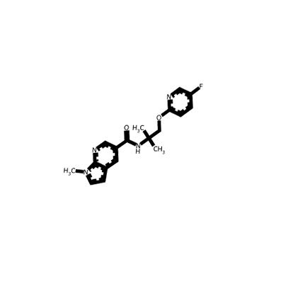 Cn1ccc2cc(C(=O)NC(C)(C)COc3ccc(F)cn3)cnc21